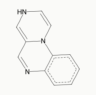 C1=CN2C(=CN1)C=Nc1ccccc12